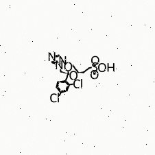 O=S(=O)(O)CC[C@@H]1CO[C@@](Cn2cncn2)(c2ccc(Cl)cc2Cl)O1